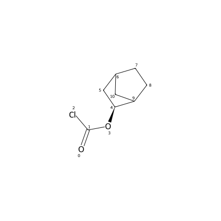 O=C(Cl)O[C@H]1CC2CCC1C2